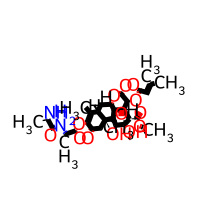 COC(=O)[C@@]12OC[C@]34C([C@@H](O)[C@@H]1O)[C@@]1(C)CC(=O)C(OC(=O)[C@H](C)NC(=O)[C@H](C)N)=C(C)[C@@H]1C[C@H]3OC(=O)[C@H](OC(=O)C=C(C)C)[C@@H]24